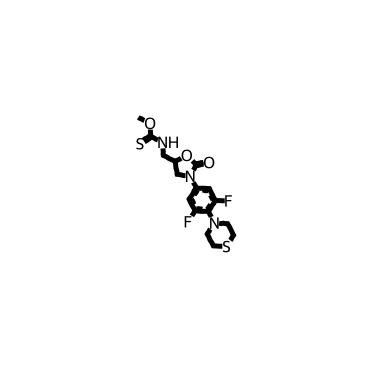 COC(=S)NCC1CN(c2cc(F)c(N3CCSCC3)c(F)c2)C(=O)O1